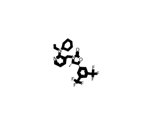 CCN(c1ncccc1CN1C(=O)O[C@H](c2cc(C(F)(F)F)cc(C(F)(F)F)c2)[C@@H]1C)C1CCCCC1